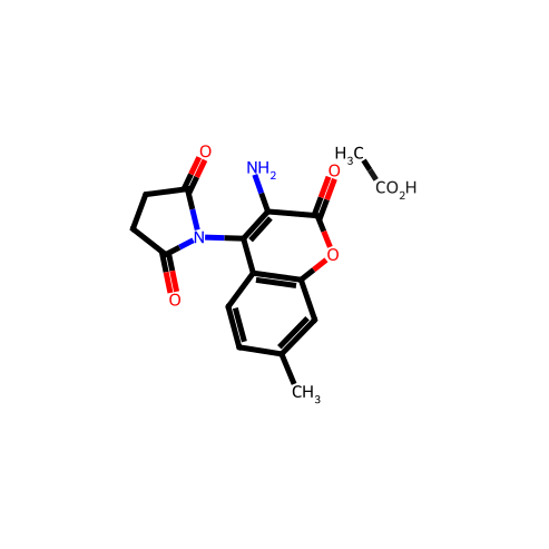 CC(=O)O.Cc1ccc2c(N3C(=O)CCC3=O)c(N)c(=O)oc2c1